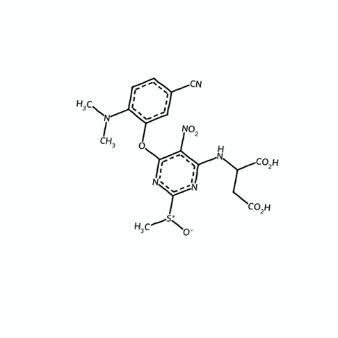 CN(C)c1ccc(C#N)cc1Oc1nc([S+](C)[O-])nc(NC(CC(=O)O)C(=O)O)c1[N+](=O)[O-]